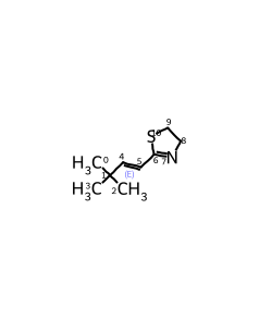 CC(C)(C)/C=C/C1=NCCS1